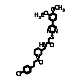 COc1ccc(-c2cnc(SCC(=O)NCC3CCCN(C(=O)CCc4ccc(Cl)cc4)C3)nc2)cc1OC